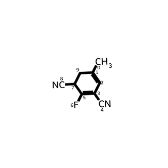 CC1=CC(C#N)=C(F)C(C#N)C1